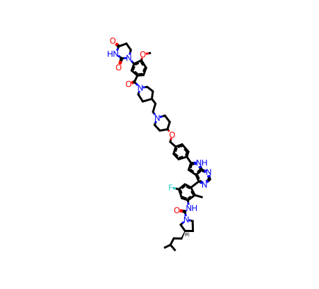 COc1ccc(C(=O)N2CCC(CCN3CCC(OCc4ccc(-c5cc6c(-c7cc(F)cc(NC(=O)N8CC[C@@H](CCC(C)C)C8)c7C)ncnc6[nH]5)cc4)CC3)CC2)cc1N1CCC(=O)NC1=O